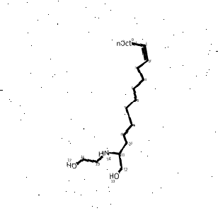 CCCCCCCC/C=C\CCCCCCCCC(CO)NCCO